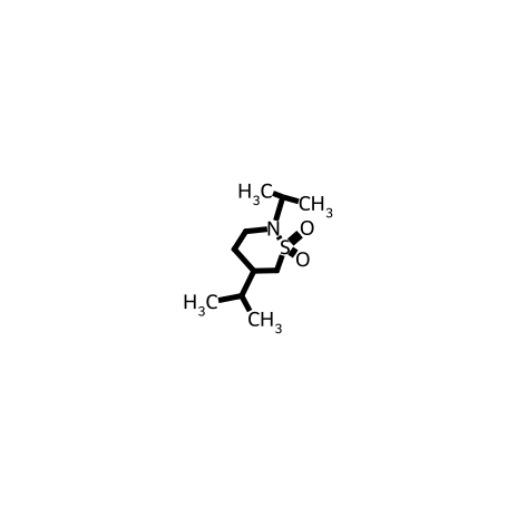 CC(C)C1CCN(C(C)C)S(=O)(=O)C1